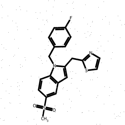 CS(=O)(=O)c1ccc2c(c1)cc(Cc1nccs1)n2Cc1ccc(F)cc1